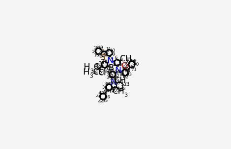 Cc1cc2c3c(c1)N(c1cccc4c1sc1ccccc14)c1ccc(C(C)(C)C)cc1B3c1ccc(N3c4ccc(-c5ccccc5)cc4C4(C)CCCCC34C)cc1N2c1cccc2c1oc1ccccc12